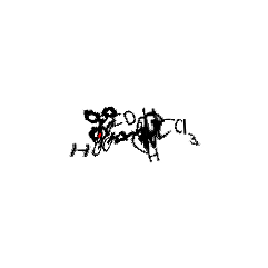 C[C@@H](O)[C@H]1C(=O)N(C(C(=O)O)=P(c2ccccc2)(c2ccccc2)c2ccccc2)[C@@H]1CC(=O)c1cccc(COC(=O)NC(=O)C(Cl)(Cl)Cl)c1